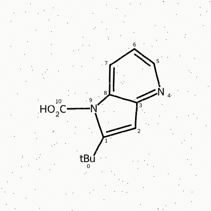 CC(C)(C)c1cc2ncccc2n1C(=O)O